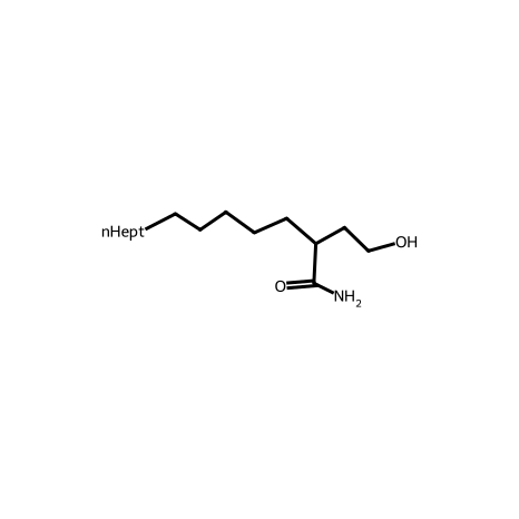 CCCCCCCCCCCCC(CCO)C(N)=O